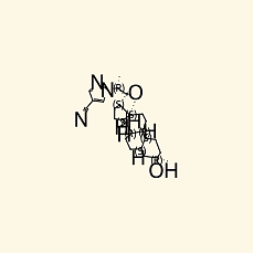 C[C@H](C(=O)[C@H]1CC[C@H]2[C@@H]3CC[C@H]4C[C@](C)(O)CC[C@@H]4[C@H]3CC[C@]12C)n1cc(C#N)cn1